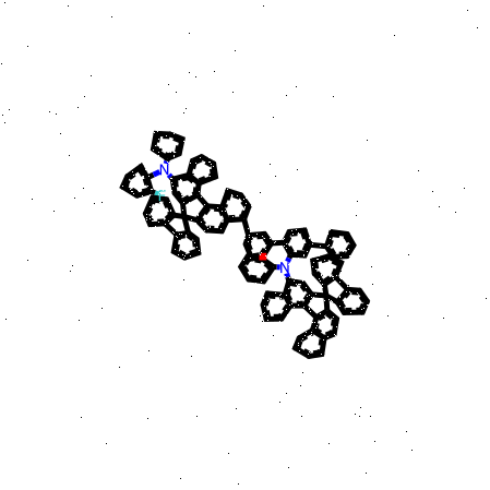 Fc1ccccc1N(c1ccccc1)c1cc2c(c3ccccc13)-c1c(ccc3c(-c4cccc(-c5ccc(-c6ccccc6)cc5N(c5ccccc5)c5cc6c(c7ccccc57)-c5c(ccc7ccccc57)C65c6ccccc6-c6ccccc65)c4)cccc13)C21c2ccccc2-c2ccccc21